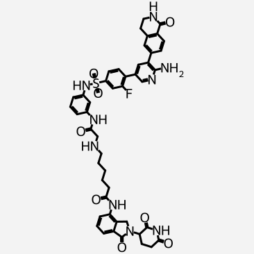 Nc1ncc(-c2ccc(S(=O)(=O)Nc3cccc(NC(=O)CNCCCCCC(=O)Nc4cccc5c4CN(C4CCC(=O)NC4=O)C5=O)c3)cc2F)cc1-c1ccc2c(c1)CCNC2=O